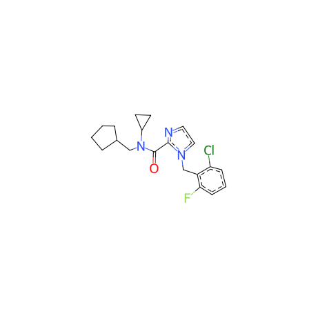 O=C(c1nccn1Cc1c(F)cccc1Cl)N(CC1CCCC1)C1CC1